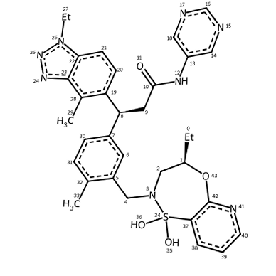 CC[C@@H]1CN(Cc2cc([C@H](CC(=O)Nc3cncnc3)c3ccc4c(nnn4CC)c3C)ccc2C)S(O)(O)c2cccnc2O1